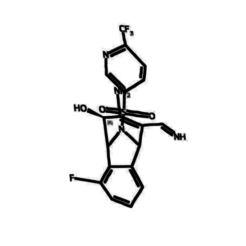 N=CC1=C(N)[C@H](O)C2c3c(F)cccc3C1N2S(=O)(=O)c1ccc(C(F)(F)F)nc1